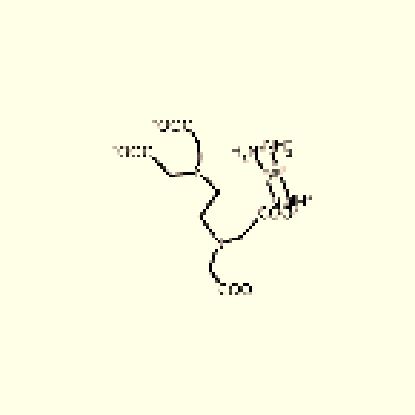 O=C([O-])CN(CCN(CC(=O)[O-])CC(=O)[O-])CC(=O)[O-].[NH3+][Fe][NH3+].[NH3+][Fe][NH3+]